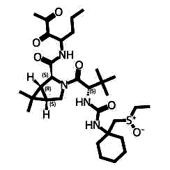 CCCC(NC(=O)[C@@H]1[C@@H]2[C@H](CN1C(=O)[C@@H](NC(=O)NC1(C[S+]([O-])CC)CCCCC1)C(C)(C)C)C2(C)C)C(=O)C(C)=O